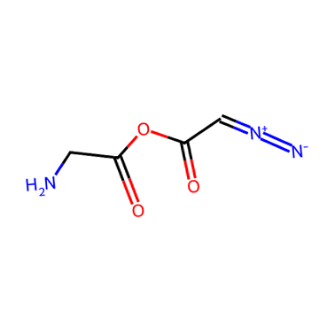 [N-]=[N+]=CC(=O)OC(=O)CN